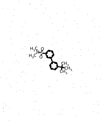 CN(C)S(=O)(=O)c1cccc(-c2cccc(C(C)(C)C)c2)c1